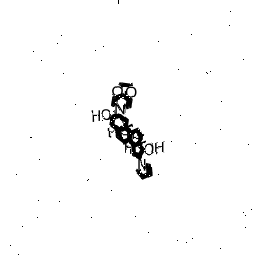 C[C@]12C[C@H](N3CCC4(CC3)OCCO4)[C@@H](O)C[C@@H]1CC[C@@H]1[C@@H]2CC[C@]2(C)[C@@H](O)[C@@H](N3CCCC3)C[C@@H]12